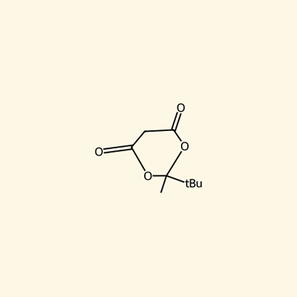 CC(C)(C)C1(C)OC(=O)CC(=O)O1